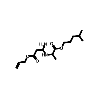 C=CCOC(=O)CC(N)NC(C)C(=O)OCCCC(C)C